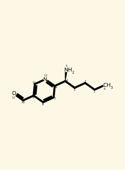 CCCC[C@H](N)c1ccc(C=O)cn1